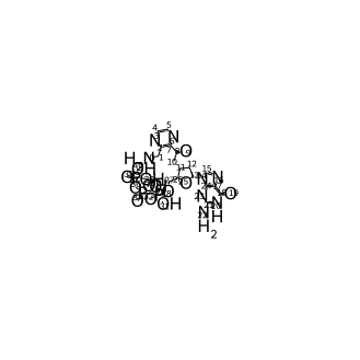 NCc1nccnc1C(=O)C[C@@H]1C[C@H](n2cnc3c(=O)[nH]c(N)nc32)OC1COP(=O)(O)OP(=O)(O)OP(=O)(O)O